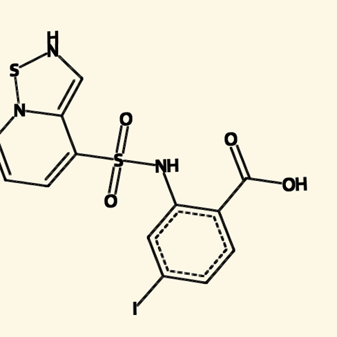 O=C(O)c1ccc(I)cc1NS(=O)(=O)C1=CC=CN2SNC=C12